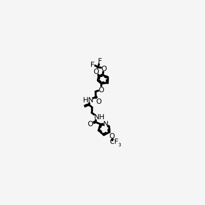 C=C(CCNC(=O)c1ccc(OC(F)(F)F)cn1)NC(=O)COc1ccc2c(c1)OC(F)(F)O2